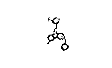 Cc1ccc2c(c1)c1c(n2CCc2cncc(F)c2)CCN(Cc2ccccc2)C1